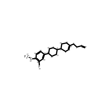 C=CCCC1=CCC(C2CCC(c3ccc(OC(F)(F)F)c(F)c3)CC2)CC1